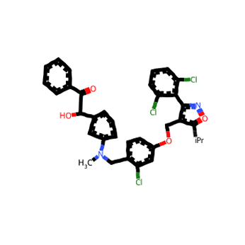 CC(C)c1onc(-c2c(Cl)cccc2Cl)c1COc1ccc(CN(C)c2cccc(C(O)C(=O)c3ccccc3)c2)c(Cl)c1